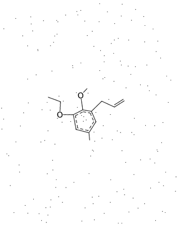 C=CCc1cc(C)cc(OCC)c1OC